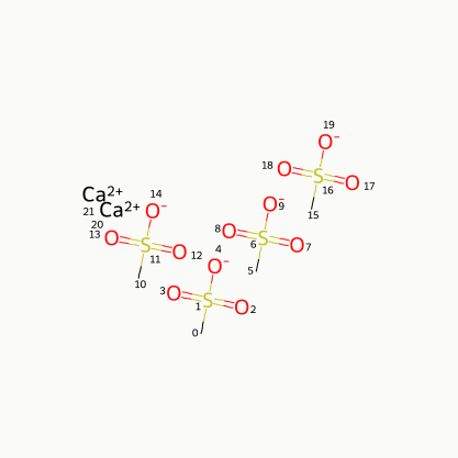 CS(=O)(=O)[O-].CS(=O)(=O)[O-].CS(=O)(=O)[O-].CS(=O)(=O)[O-].[Ca+2].[Ca+2]